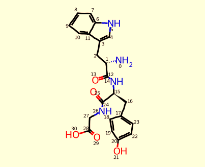 N[C@@H](Cc1c[nH]c2ccccc12)C(=O)N[C@@H](Cc1ccc(O)cc1)C(=O)NCC(=O)O